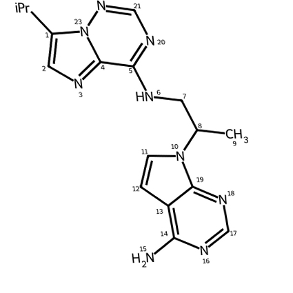 CC(C)c1cnc2c(NCC(C)n3ccc4c(N)ncnc43)ncnn12